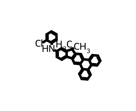 CC1(C)c2cc(Nc3ccccc3Cl)ccc2-c2cc3c4ccccc4c4ccccc4c3cc21